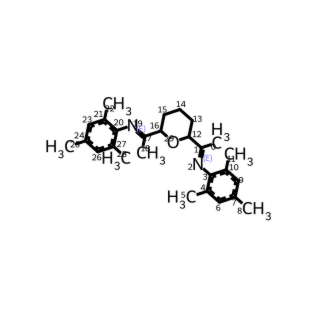 C/C(=N\c1c(C)cc(C)cc1C)C1CCCC(/C(C)=N/c2c(C)cc(C)cc2C)O1